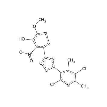 COc1ccc(-c2nc(-c3c(Cl)nc(C)c(Cl)c3C)no2)c([N+](=O)[O-])c1O